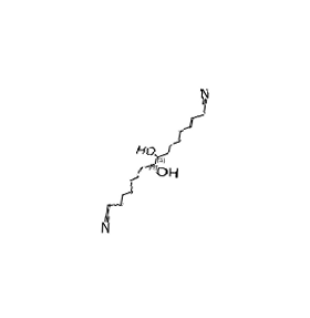 N#CCCCCCCC[C@@H](O)[C@@H](O)CCCCCCCC#N